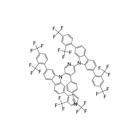 N#Cc1ccc(-c2cc(-n3c4cc(-c5ccc(C(F)(F)F)cc5C(F)(F)F)ccc4c4ccc(-c5ccc(C(F)(F)F)cc5C(F)(F)F)cc43)ncc2-n2c3cc(-c4ccc(C(F)(F)F)cc4C(F)(F)F)ccc3c3ccc(-c4ccc(C(F)(F)F)cc4C(F)(F)F)cc32)cc1